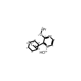 CCCOc1nccnc1C1CN2CCC1CC2.Cl